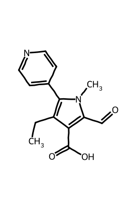 CCc1c(C(=O)O)c(C=O)n(C)c1-c1ccncc1